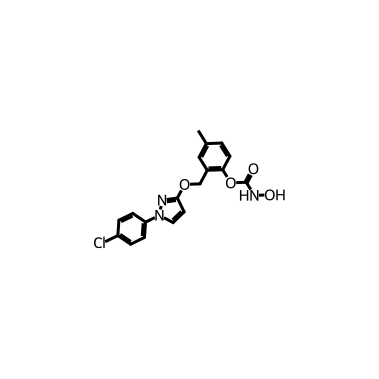 Cc1ccc(OC(=O)NO)c(COc2ccn(-c3ccc(Cl)cc3)n2)c1